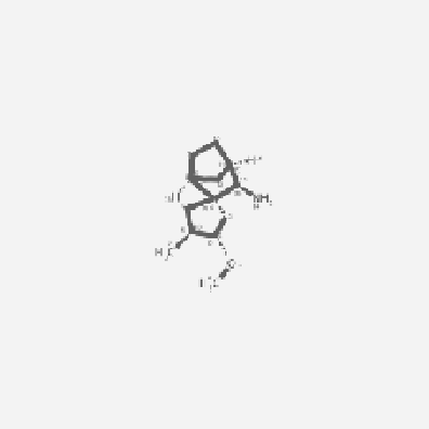 CO[C@H]1C[C@]2(C[C@@H]1C)[C@H]1CC[C@H](C1)[C@H]2N